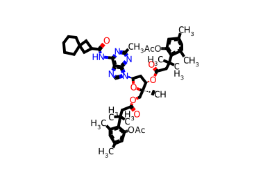 C#C[C@]1(COC(=O)CC(C)(C)c2c(C)cc(C)cc2OC(C)=O)O[C@@H](n2cnc3c(NC(=O)C4CC5(CCCCC5)C4)nc(C)nc32)C[C@@H]1OC(=O)CC(C)(C)c1c(C)cc(C)cc1OC(C)=O